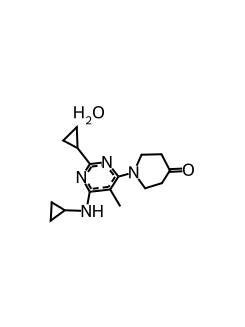 Cc1c(NC2CC2)nc(C2CC2)nc1N1CCC(=O)CC1.O